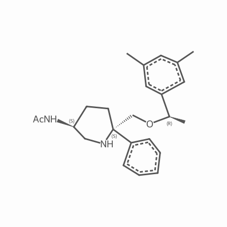 CC(=O)N[C@H]1CC[C@@](CO[C@H](C)c2cc(C)cc(C)c2)(c2ccccc2)NC1